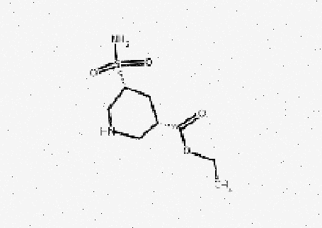 CCOC(=O)[C@@H]1CNC[C@H](S(N)(=O)=O)C1